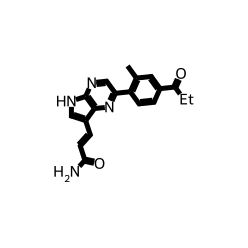 CCC(=O)c1ccc(-c2cnc3[nH]cc(C=CC(N)=O)c3n2)c(C)c1